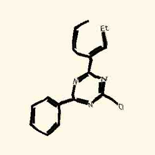 C/C=C\C(=C/CC)c1nc(Cl)nc(-c2ccccc2)n1